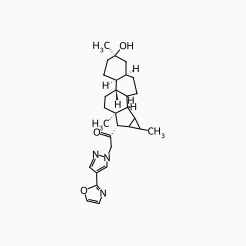 CC1C2C1[C@H]1[C@@H]3CC[C@@H]4C[C@](C)(O)CC[C@@H]4[C@H]3CC[C@]1(C)[C@H]2C(=O)Cn1cc(-c2ncco2)cn1